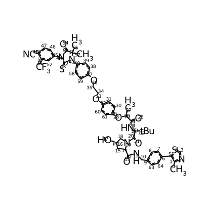 Cc1ncsc1-c1ccc(CNC(=O)C2C[C@@H](O)CN2C(=O)[C@@H](NC(=O)[C@H](C)Oc2ccc(OCCOc3ccc(N4C(=S)N(c5ccc(C#N)c(C(F)(F)F)c5)C(=O)C4(C)C)cc3)cc2)C(C)(C)C)cc1